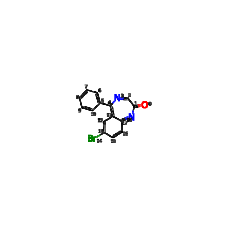 O=c1cnc(-c2ccccc2)c2cc(Br)ccc2n1